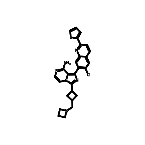 Nc1nccn2c(C3CC(CN4CCC4)C3)nc(-c3cc4nc(-c5cccs5)ccc4cc3Cl)c12